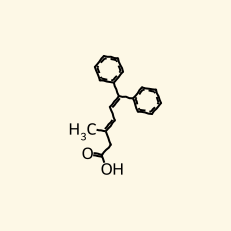 C/C(=C\C=C(c1ccccc1)c1ccccc1)CC(=O)O